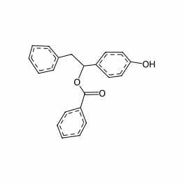 O=C(OC(Cc1ccccc1)c1ccc(O)cc1)c1ccccc1